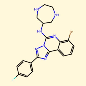 Fc1ccc(-c2nc3c4cccc(Br)c4nc(NC4CNCCNC4)n3n2)cc1